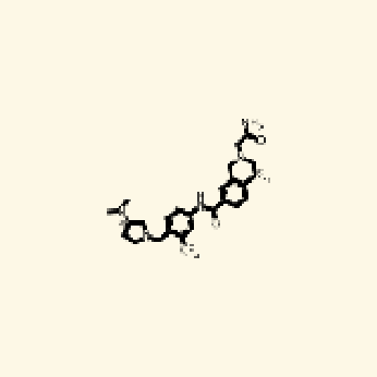 C[C@H]1CN(CC(N)=O)Cc2cc(C(=O)Nc3ccc(CN4CC[C@H](N(C)C)C4)c(C(F)(F)F)c3)ccc21